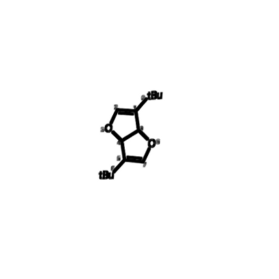 CC(C)(C)C1=COC2C(C(C)(C)C)=COC12